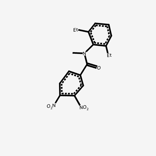 CCc1cccc(CC)c1N(C)C(=O)c1ccc([N+](=O)[O-])c([N+](=O)[O-])c1